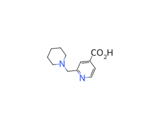 O=C(O)c1ccnc(CN2CCCCC2)c1